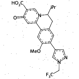 COc1cc2c(cc1-c1cnn(CC(F)(F)F)c1)CC(C(C)C)n1cc(C(=O)O)c(=O)cc1-2